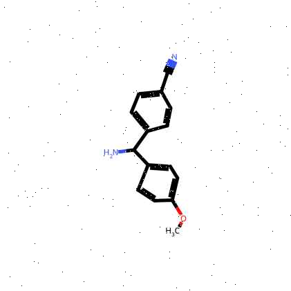 COc1ccc(C(N)c2ccc(C#N)cc2)cc1